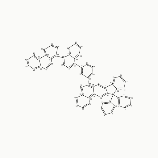 c1ccc(C2(c3ccccc3)c3ccccc3-c3cc4c(-c5cccc(-c6ccc(-c7ccnc8c7ccc7cccnc78)c7ccccc67)c5)nc5ccccc5c4cc32)cc1